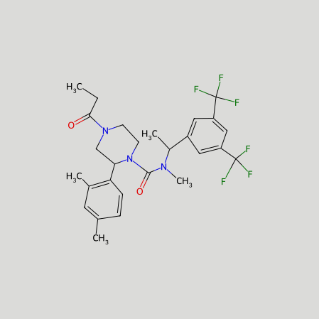 CCC(=O)N1CCN(C(=O)N(C)C(C)c2cc(C(F)(F)F)cc(C(F)(F)F)c2)C(c2ccc(C)cc2C)C1